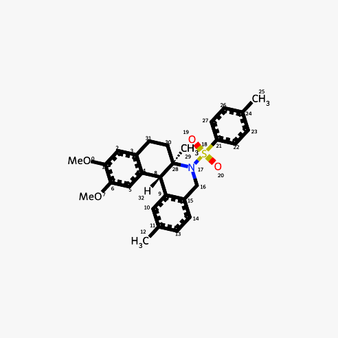 COc1cc2c(cc1OC)[C@H]1c3cc(C)ccc3CN(S(=O)(=O)c3ccc(C)cc3)[C@]1(C)CC2